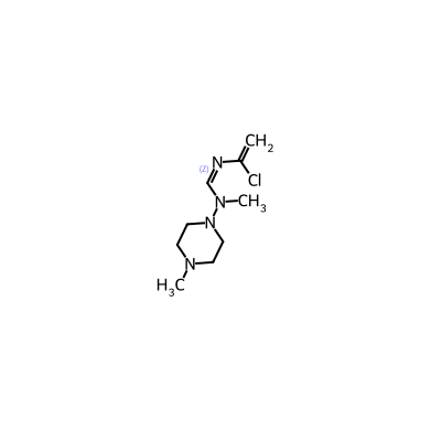 C=C(Cl)/N=C\N(C)N1CCN(C)CC1